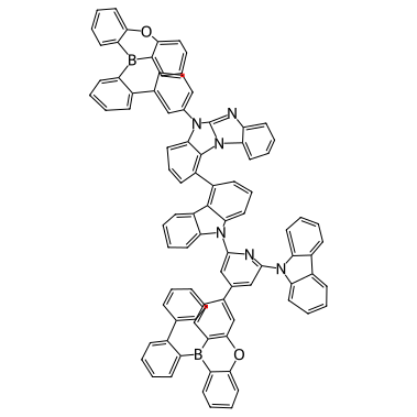 c1ccc(-c2ccccc2B2c3ccccc3Oc3cc(-c4cc(-n5c6ccccc6c6ccccc65)nc(-n5c6ccccc6c6c(-c7cccc8c7n7c9ccccc9nc7n8-c7cccc(-c8ccccc8B8c9ccccc9Oc9ccccc98)c7)cccc65)c4)ccc32)cc1